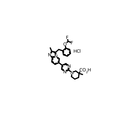 Cc1nc2ccc(-c3cnc(N4CCCC(C)(C(=O)O)C4)nc3)cn2c1Cc1ccccc1OC(F)F.Cl